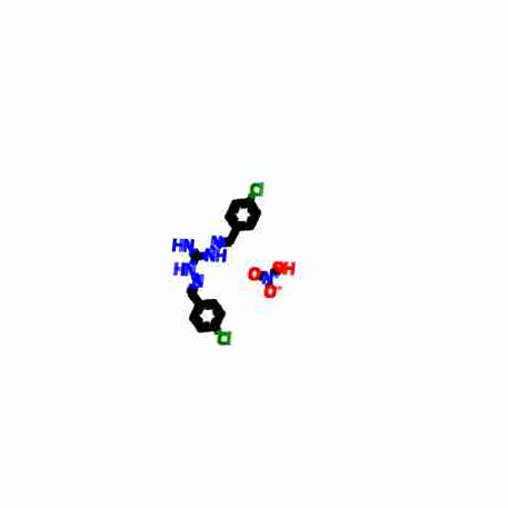 N=C(NN=Cc1ccc(Cl)cc1)NN=Cc1ccc(Cl)cc1.O=[N+]([O-])O